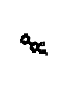 Nc1ncc(-c2cncnc2)cc1Cl